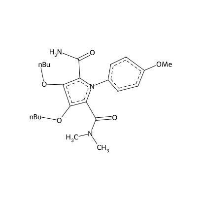 CCCCOc1c(OCCCC)c(C(=O)N(C)C)n(-c2ccc(OC)cc2)c1C(N)=O